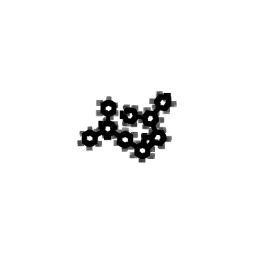 c1ccc(-c2nc(-c3ccccc3)nc(-c3ccc(-c4cccc5c4sc4c(-c6cc(-c7ccncc7)cc(-c7ccncc7)c6)cccc45)cc3)n2)cc1